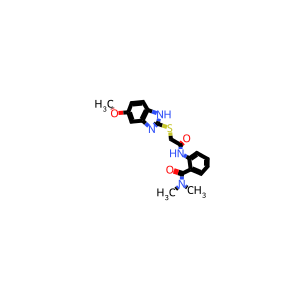 COc1ccc2[nH]c(SCC(=O)Nc3ccccc3C(=O)N(C)C)nc2c1